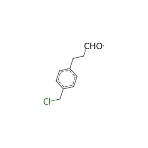 O=[C]CCc1ccc(CCl)cc1